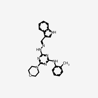 Cc1ccccc1Nc1nc(N/N=C/c2c[nH]c3ccccc23)nc(N2CCOCC2)n1